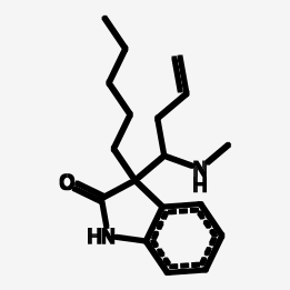 C=CCC(NC)C1(CCCCC)C(=O)Nc2ccccc21